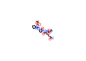 CN(C)C(=O)CCCC[C@H](NC(=O)OC(C)(C)C)C(=O)Nc1cccn(Cc2nc3ccccc3n2C(=O)OC(C)(C)C)c1=O